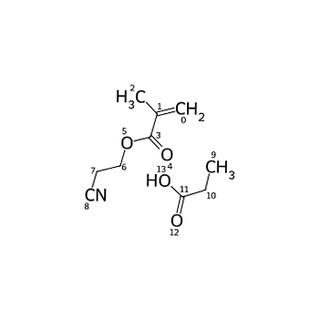 C=C(C)C(=O)OCCC#N.CCC(=O)O